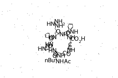 CCCC[C@H](NC(C)=O)C(=O)NC1CCC(=O)NCCCC(C(=O)O)NC(=O)[C@H](Cc2c[nH]c3ccccc23)NC(=O)[C@H](CCCNC(=N)N)NC(=O)C(Cc2ccccc2)NC(=O)[C@H](Cc2c[nH]cn2)NC1=O